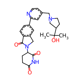 CC(C)(O)C1CCN(Cc2ccnc(-c3ccc4c(c3)CN(C3CCC(=O)NC3=O)C4=O)c2)C1